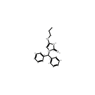 CCCOc1cn(C(c2ccccc2)c2ccccc2)c(=O)o1